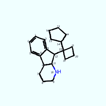 c1ccc2c(c1)C1CCCNC1C2C1(C2CCCC2)CCC1